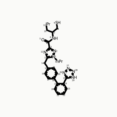 CCCn1nc(C(=O)NC(CS)CC(C)C)nc1Cc1ccc(-c2ccccc2-c2nnn[nH]2)cc1